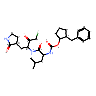 CC(C)CC(NC(=O)OC1CCCC1Cc1ccccc1)C(=O)NC(CC1CCNC1=O)C(=O)CCl